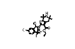 CCOC(=O)c1c(NC(=O)c2cc(Cl)ccc2C(F)(F)F)sc2c1CC(C)(C)NC2(C)C